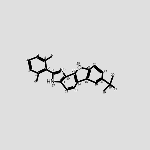 Cc1cccc(C)c1-c1nc2c(ccc3c4cc(C(C)(C)C)ccc4oc32)[nH]1